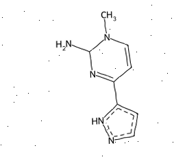 CN1C=CC(c2ccn[nH]2)=NC1N